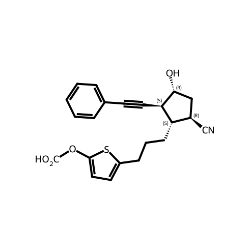 N#C[C@@H]1C[C@@H](O)[C@H](C#Cc2ccccc2)[C@H]1CCCc1ccc(OC(=O)O)s1